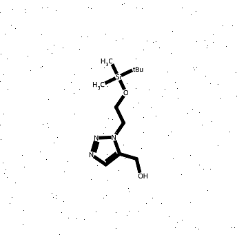 CC(C)(C)[Si](C)(C)OCCn1nncc1CO